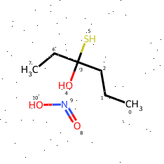 CCCC(O)(S)CC.O=NO